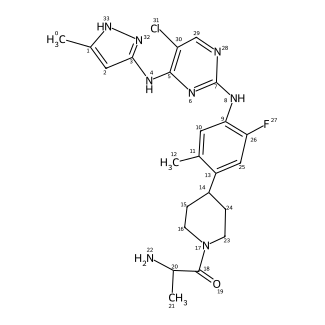 Cc1cc(Nc2nc(Nc3cc(C)c(C4CCN(C(=O)C(C)N)CC4)cc3F)ncc2Cl)n[nH]1